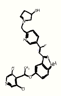 CC(Oc1ccc2[nH]nc(/C=C(\F)c3ccc(CN4CCC(O)C4)nc3)c2c1)c1c(Cl)cncc1Cl